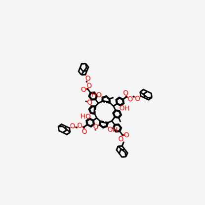 COc1cc(O)c2cc1C(c1ccc(C(=O)OCOC3C4CC5CC(C4)CC3C5)cc1)c1cc(c(OC)cc1O)C(c1ccc(C(=O)OCOC3C4CC5CC(C4)CC3C5)cc1)c1cc(c(C)cc1O)C(c1ccc(C(=O)OCOC3C4CC5CC(C4)CC3C5)cc1)c1cc(c(C)cc1O)C2c1ccc(C(=O)OCC2C3CC4CC(C3)CC2C4)cc1